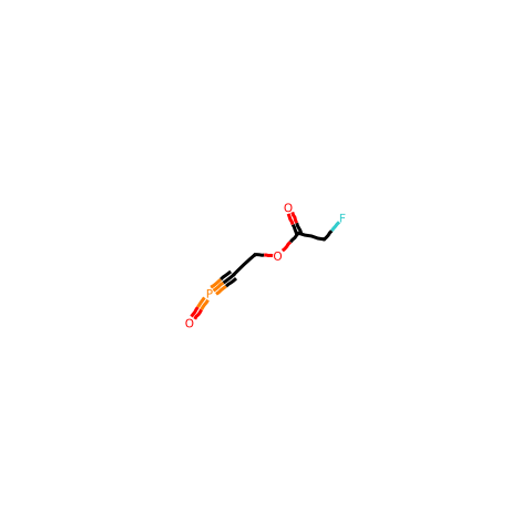 O=P#CCOC(=O)CF